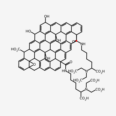 O=C(O)CN(CC(=O)O)C(CCCCNC(=O)C12C=CC=C3C=C4C=C5C6=C7C(=CC5O)C(O)C5=CC8C9=C%10C5=C7C5=C7c%11c(c(cc%12c%11=C%11C%13c%14c(cc%15c(c%14C%10(O)C5%11)C9C59OC5(C=CC=C9C8C(=O)O)C%15)C=CC%13(C(=O)NCCCCC(C(=O)O)N(CC(=O)O)CC(=O)O)C=%12)C1)C(=C32)C4C67O)C(=O)O